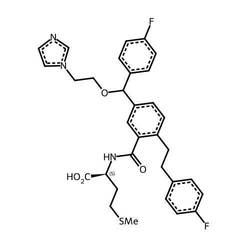 CSCC[C@H](NC(=O)c1cc(C(OCCn2ccnc2)c2ccc(F)cc2)ccc1CCc1ccc(F)cc1)C(=O)O